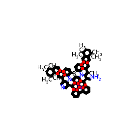 C/C(=C(\C(=C/N)c1ccccc1)N1c2cc(-c3ccc4c(c3)C(C)(C)CCC4(C)C)ccc2B2c3ccc(-c4ccc5c(c4)C(C)(C)CCC5(C)C)cc3N(c3c(-c4ccccc4)cncc3-c3ccccc3)c3cc(-n4c5ccccc5c5ccccc54)cc1c32)c1ccccc1